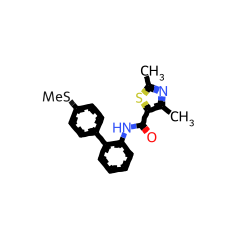 CSc1ccc(-c2ccccc2NC(=O)c2sc(C)nc2C)cc1